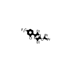 CCc1nc(-c2ccc(C(F)(F)F)cc2Cl)c(CC)nc1OC(C(C)C)C(C)C